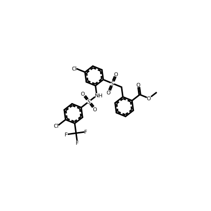 COC(=O)c1ccccc1CS(=O)(=O)c1ccc(Cl)cc1NS(=O)(=O)c1ccc(Cl)c(C(F)(F)F)c1